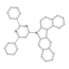 c1ccc(-c2cc(-n3c4cc5ccccc5cc4c4c5ccccc5ccc43)nc(-c3ccccc3)n2)cc1